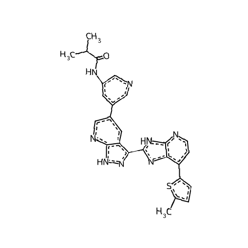 Cc1ccc(-c2ccnc3[nH]c(-c4n[nH]c5ncc(-c6cncc(NC(=O)C(C)C)c6)cc45)nc23)s1